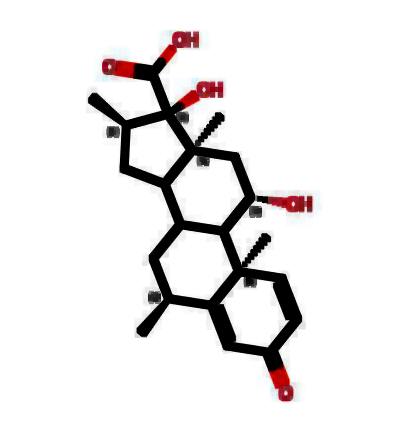 C[C@@H]1CC2C3C[C@H](C)C4=CC(=O)C=C[C@]4(C)C3[C@@H](O)C[C@]2(C)[C@@]1(O)C(=O)O